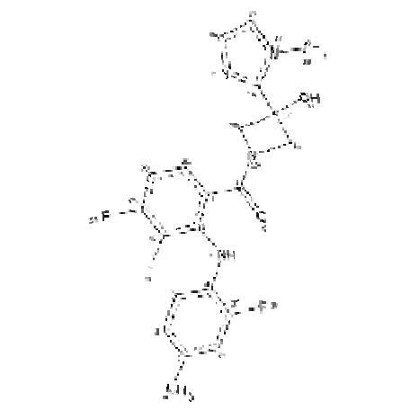 Cc1ccc(Nc2c(C(=O)N3CC(O)(c4nccn4C)C3)ccc(F)c2F)c(F)c1